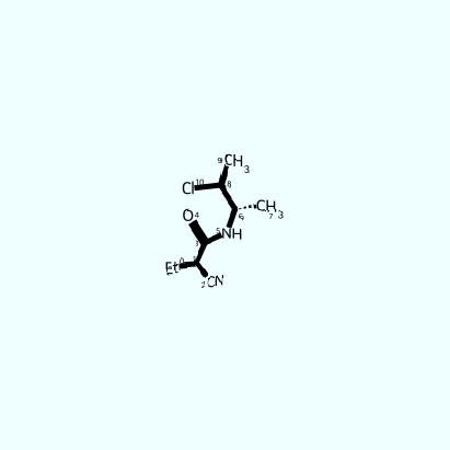 CCC(C#N)C(=O)N[C@@H](C)C(C)Cl